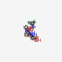 CN(C(=O)COc1ccccc1N(CC1CCCCC1)C(=O)CNC(=O)Nc1cccc(C(=O)O)c1)c1cc(F)cc(F)c1